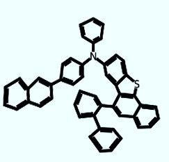 c1ccc(-c2ccccc2-c2cc3ccccc3c3sc4ccc(N(c5ccccc5)c5ccc(-c6ccc7ccccc7c6)cc5)cc4c23)cc1